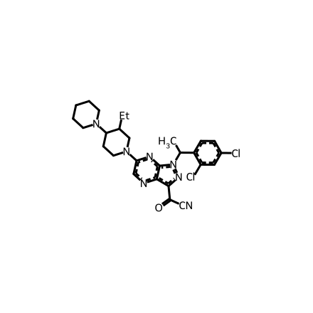 CCC1CN(c2cnc3c(C(=O)C#N)nn(C(C)c4ccc(Cl)cc4Cl)c3n2)CCC1N1CCCCC1